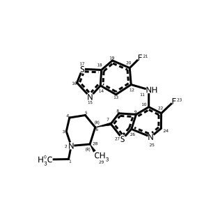 CCN1CCC[C@@H](c2cc3c(Nc4cc5ncsc5cc4F)c(F)cnc3s2)[C@H]1C